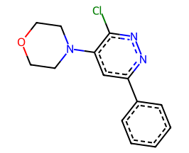 Clc1nnc(-c2ccccc2)cc1N1CCOCC1